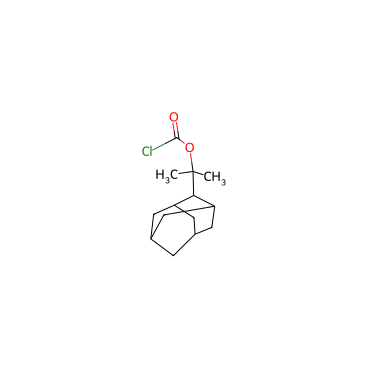 CC(C)(OC(=O)Cl)C1C2CC3CC(C2)CC1C3